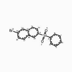 O=S(=O)(c1cc[c]cc1)c1ccc2cc(Br)ccc2c1